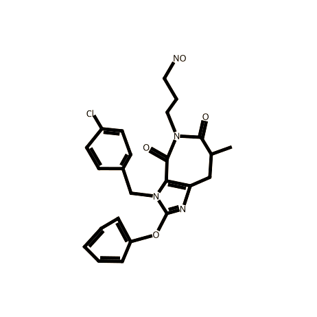 CC1Cc2nc(Oc3ccccc3)n(Cc3ccc(Cl)cc3)c2C(=O)N(CCCN=O)C1=O